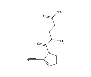 N#CC1=CCCN1C(=O)[C@@H](N)CCC(N)=O